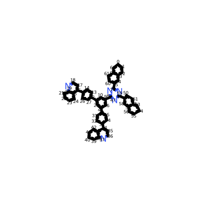 c1ccc2cc(-c3nc(-c4cc(-c5ccc(-c6ccnc7ccccc67)cc5)cc(-c5ccc(-c6ccnc7ccccc67)cc5)c4)nc(-c4ccc5ccccc5c4)n3)ccc2c1